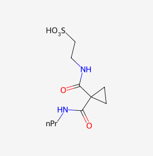 CCCNC(=O)C1(C(=O)NCCS(=O)(=O)O)CC1